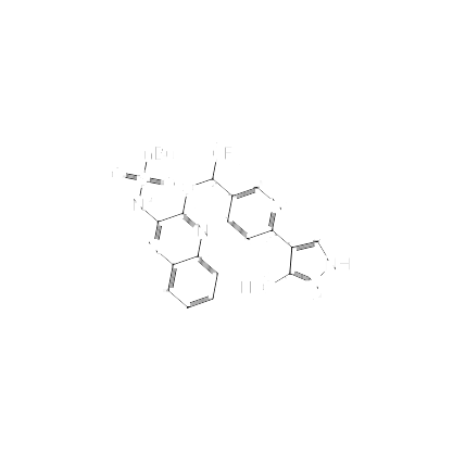 CCCCS(=O)(=O)Nc1nc2ccccc2nc1OC(c1ccc(-c2c[nH]nc2C)nc1)C(F)(F)F